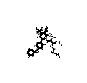 COCOC(C)C(O)Cn1c(-c2ccc(Oc3ccccc3)cc2)cc(C(F)(F)F)c(C#N)c1=O